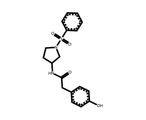 O=C(Cc1ccc(O)cc1)NC1C[CH]N(S(=O)(=O)c2ccccc2)C1